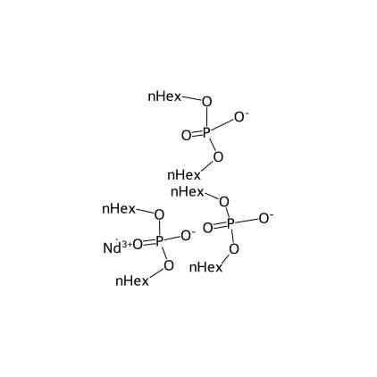 CCCCCCOP(=O)([O-])OCCCCCC.CCCCCCOP(=O)([O-])OCCCCCC.CCCCCCOP(=O)([O-])OCCCCCC.[Nd+3]